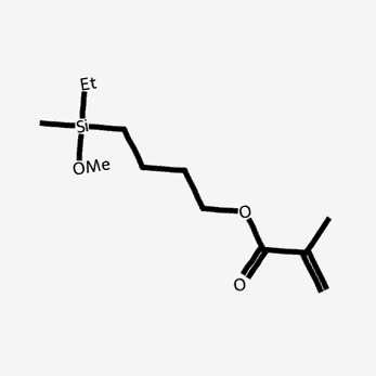 C=C(C)C(=O)OCCCC[Si](C)(CC)OC